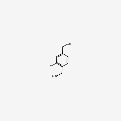 N#CCc1ccc(CN)c(F)c1